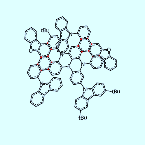 CC(C)(C)c1ccc(N2c3cc(-c4c(-c5cccc6c5oc5ccccc56)cccc4-n4c5ccccc5c5ccccc54)ccc3B3c4ccc(-n5c6ccc(C(C)(C)C)cc6c6cc(C(C)(C)C)ccc65)cc4N(c4ccccc4-c4ccccc4)c4cc(-c5c(-c6ccc7c(c6)oc6ccccc67)cccc5-n5c6ccccc6c6ccccc65)cc2c43)c(-c2ccccc2)c1